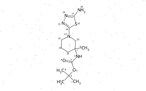 CC1(NC(=O)OC(C)(C)C)CCCN(c2nnc(N)s2)C1